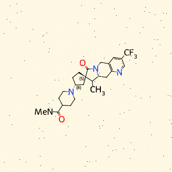 CNC(=O)C1CCN([C@@H]2CC[C@@]3(C2)C(=O)N2Cc4cc(C(F)(F)F)cnc4CC2C3C)CC1